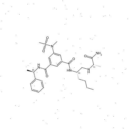 CCCC[C@@H](CN[C@@H](C)C(N)=O)NC(=O)c1cc(C(=O)N[C@H](C)c2ccccc2)cc(N(C)S(C)(=O)=O)c1